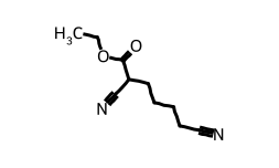 CCOC(=O)C(C#N)CCCCC#N